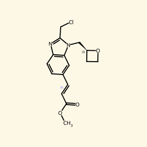 COC(=O)/C=C/c1ccc2nc(CCl)n(C[C@@H]3CCO3)c2c1